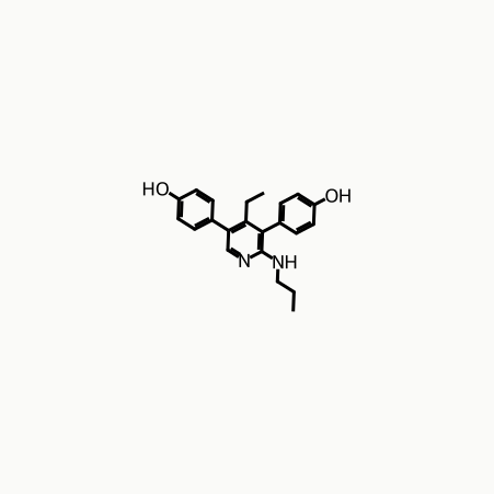 CCCNc1ncc(-c2ccc(O)cc2)c(CC)c1-c1ccc(O)cc1